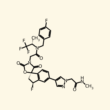 CNC(=O)Cn1cc(-c2ccc3c(c2)[C@@H](F)C[C@@]32OC(=O)N(CC(=O)N(Cc3ccc(F)cc3)[C@@H](C)C(F)(F)F)C2=O)cn1